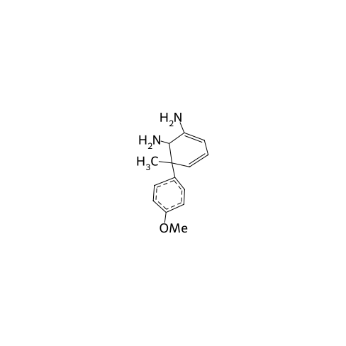 COc1ccc(C2(C)C=CC=C(N)C2N)cc1